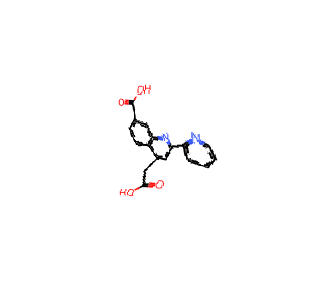 O=C(O)Cc1cc(-c2ccccn2)nc2cc(C(=O)O)ccc12